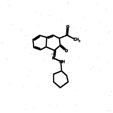 CC(=O)C1C=C2C=CC=CC2/C(=N/NC2CCCCC2)C1=O